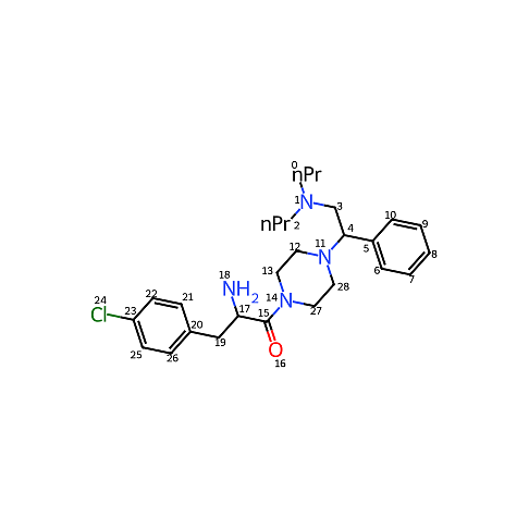 CCCN(CCC)CC(c1ccccc1)N1CCN(C(=O)C(N)Cc2ccc(Cl)cc2)CC1